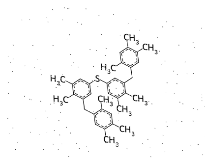 Cc1cc(C)c(Cc2cc(Sc3cc(C)c(C)c(Cc4cc(C)c(C)cc4C)c3)cc(C)c2C)cc1C